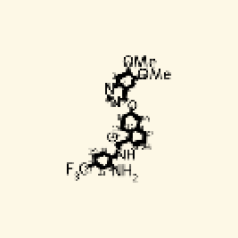 COc1cc2ncnc(Oc3ccc4c(C(=O)Nc5ccc(C(F)(F)F)cc5N)cccc4c3)c2cc1OC